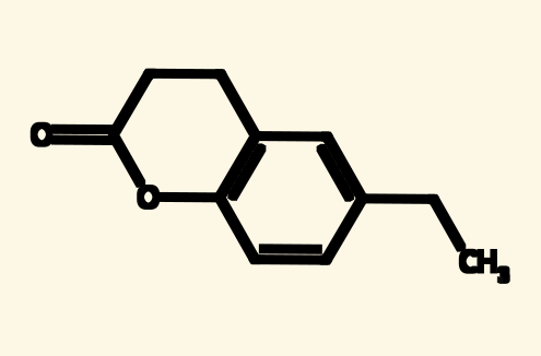 CCc1ccc2c(c1)CCC(=O)O2